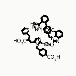 CCCCc1ncc(/C=C(\Cc2cccs2)C(=O)O)n1Cc1ccc(C(=O)O)cc1.CCOc1nc2cccc(C(=O)O)c2n1Cc1ccc(-c2ccccc2-c2nnn[nH]2)cc1